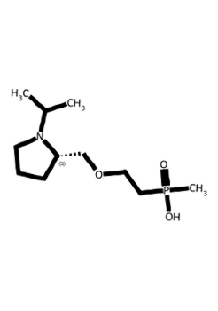 CC(C)N1CCC[C@H]1COCCP(C)(=O)O